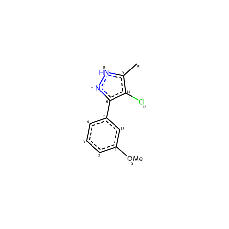 COc1cccc(-c2n[nH]c(C)c2Cl)c1